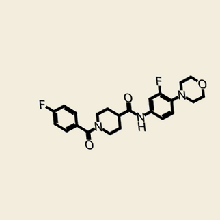 O=C(Nc1ccc(N2CCOCC2)c(F)c1)C1CCN(C(=O)c2ccc(F)cc2)CC1